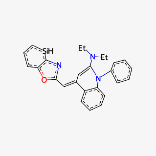 CCN(CC)C1=C/C(=C\c2nc3[siH]cccc3o2)c2ccccc2N1c1ccccc1